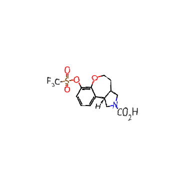 O=C(O)N1CC2CCOc3c(OS(=O)(=O)C(F)(F)F)cccc3[C@H]2C1